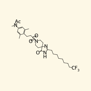 CC(=O)N(C)c1cc(C)c(CCS(=O)(=O)N2CCC3(CC2)N=C(CCCCCCCCC(F)(F)F)NC3=O)c(C)c1